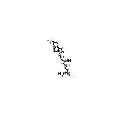 Cc1ccc2c3c(ccc2c1)C(=NOCC(O)CNCCN(C)C)CC3